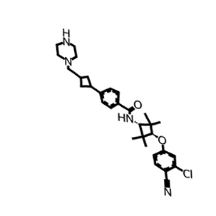 CC1(C)[C@H](NC(=O)c2ccc(C3CC(CN4CCNCC4)C3)cc2)C(C)(C)[C@H]1Oc1ccc(C#N)c(Cl)c1